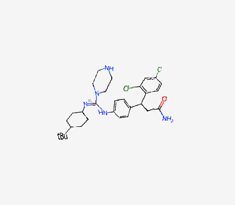 CC(C)(C)C1CCC(/N=C(\Nc2ccc(C(CC(N)=O)c3ccc(Cl)cc3Cl)cc2)N2CCNCC2)CC1